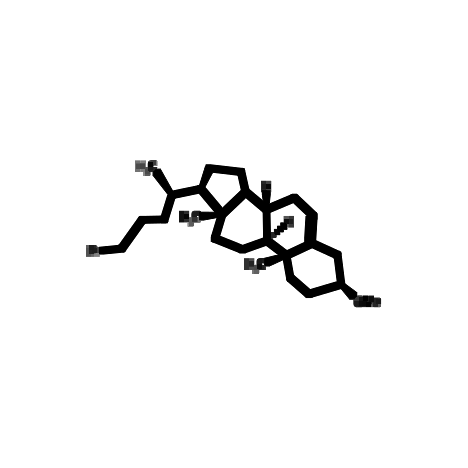 CO[C@H]1CC[C@@]2(C)C(=CC[C@H]3C4CC[C@H]([C@H](C)CCCC(C)C)[C@@]4(C)CC[C@@H]32)C1